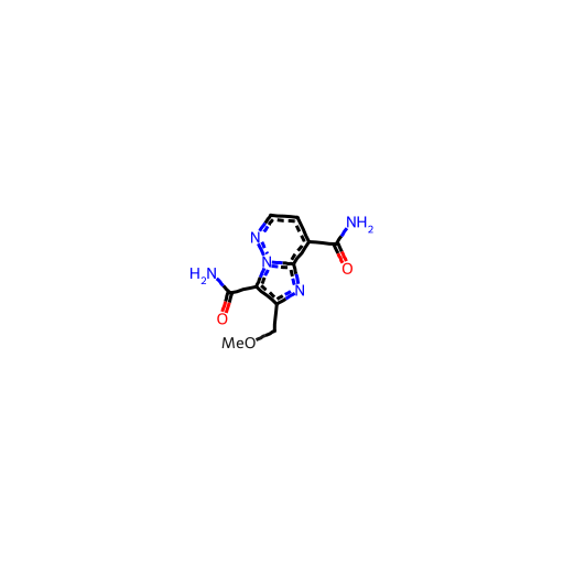 COCc1nc2c(C(N)=O)ccnn2c1C(N)=O